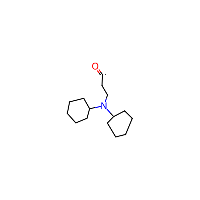 O=[C]CCN(C1CCCCC1)C1CCCCC1